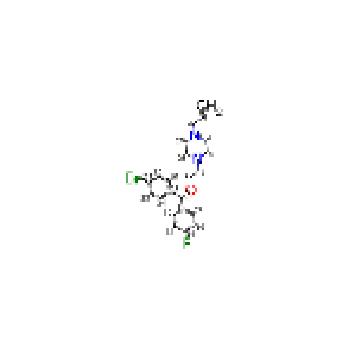 C=CCN1CCN(CCOC(c2ccc(F)cc2)c2ccc(Br)cc2)CC1